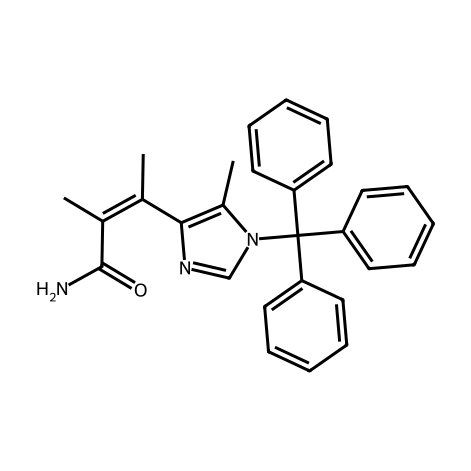 CC(C(N)=O)=C(C)c1ncn(C(c2ccccc2)(c2ccccc2)c2ccccc2)c1C